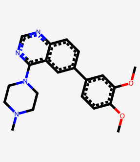 COc1ccc(-c2ccc3ncnc(N4CCN(C)CC4)c3c2)cc1OC